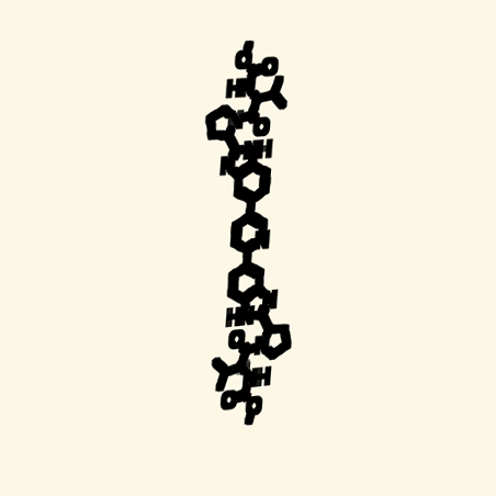 COC(=O)NC(C(=O)N1CCCC1c1nc2cc(-c3ccc(-c4ccc5[nH]c(C6CCCN6C(=O)[C@@H](NC(=O)OC)C(C)C)nc5c4)nc3)ccc2[nH]1)C(C)C